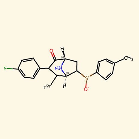 CCCC1C(c2ccc(F)cc2)C(=O)[C@@H]2CC([S+]([O-])c3ccc(C)cc3)[C@@H]1N2